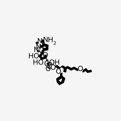 C=C(CCCCOCCCC)C[C@H](COP(=O)(O)OC[C@H]1O[C@@](C#N)(c2ccc3c(N)ncnn23)C(O)[C@H]1O)OCc1ccccc1